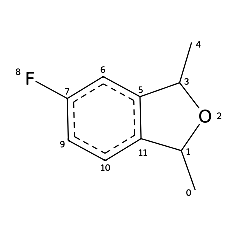 CC1OC(C)c2cc(F)ccc21